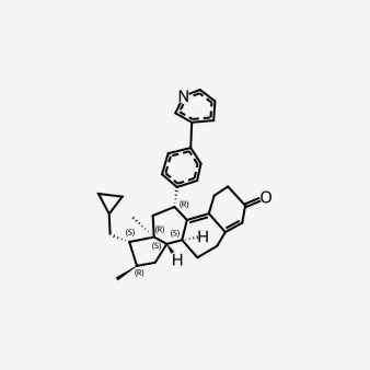 C[C@@H]1C[C@H]2[C@@H]3CCC4=CC(=O)CCC4=C3[C@@H](c3ccc(-c4cccnc4)cc3)C[C@]2(C)[C@H]1CC1CC1